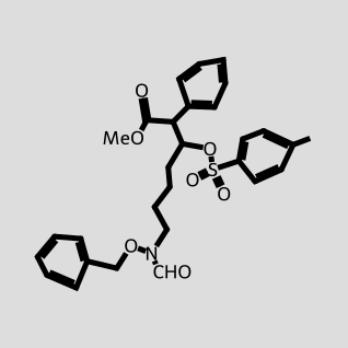 COC(=O)C(c1ccccc1)C(CCCCN(C=O)OCc1ccccc1)OS(=O)(=O)c1ccc(C)cc1